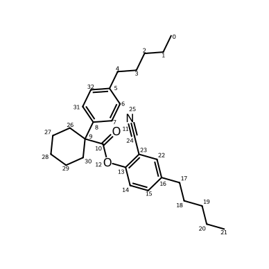 CCCCCc1ccc(C2(C(=O)Oc3ccc(CCCCC)cc3C#N)CCCCC2)cc1